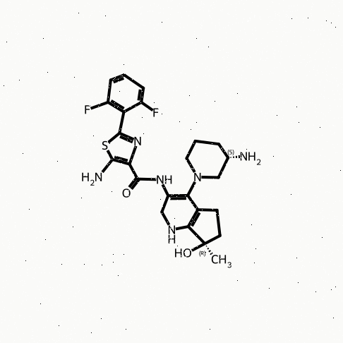 C[C@@]1(O)CCC2=C1NCC(NC(=O)c1nc(-c3c(F)cccc3F)sc1N)=C2N1CCC[C@H](N)C1